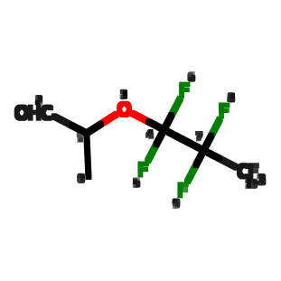 CC(C=O)OC(F)(F)C(F)(F)C(F)(F)F